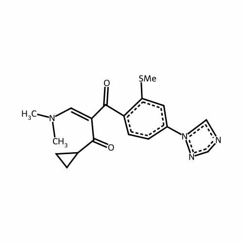 CSc1cc(-n2cncn2)ccc1C(=O)C(=CN(C)C)C(=O)C1CC1